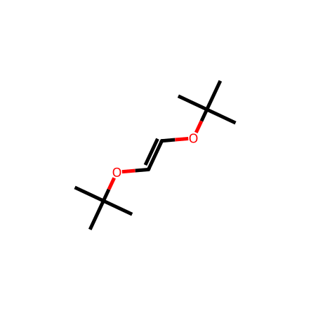 CC(C)(C)OC=COC(C)(C)C